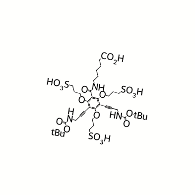 CC(C)(C)OC(=O)NCC#Cc1c(OCCCS(=O)(=O)O)c(C#CCNC(=O)OC(C)(C)C)c(OCCCS(=O)(=O)O)c(C(=O)NCCCCCC(=O)O)c1OCCCS(=O)(=O)O